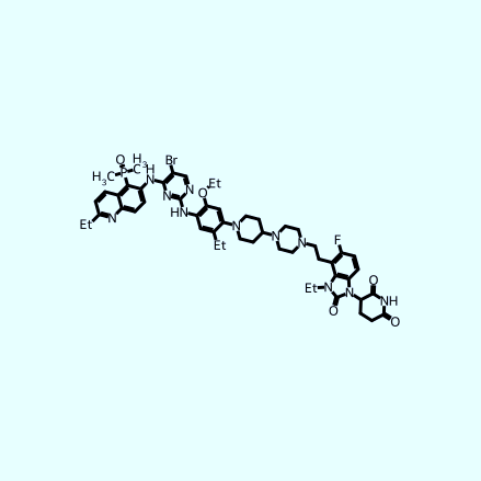 CCOc1cc(N2CCC(N3CCN(CCc4c(F)ccc5c4n(CC)c(=O)n5C4CCC(=O)NC4=O)CC3)CC2)c(CC)cc1Nc1ncc(Br)c(Nc2ccc3nc(CC)ccc3c2P(C)(C)=O)n1